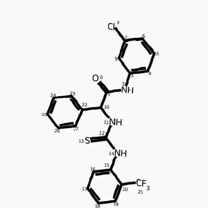 O=C(Nc1cccc(Cl)c1)C(NC(=S)Nc1ccccc1C(F)(F)F)c1ccccc1